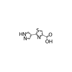 O=C(O)c1csc(-c2cn[nH]c2)n1